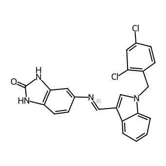 O=c1[nH]c2ccc(/N=C/c3cn(Cc4ccc(Cl)cc4Cl)c4ccccc34)cc2[nH]1